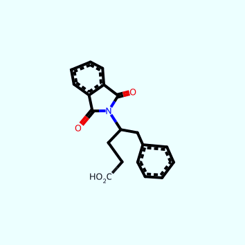 O=C(O)CCC(Cc1ccccc1)N1C(=O)c2ccccc2C1=O